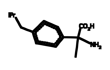 CC(C)Cc1ccc(C(C)(N)C(=O)O)cc1